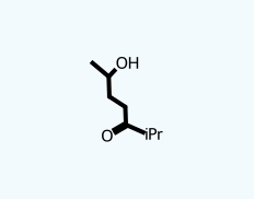 CC(O)CCC(=O)C(C)C